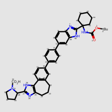 CC(C)(C)OC(=O)NC1(c2nc3ccc(-c4ccc(-c5ccc6c(c5)CCCc5nc(C7CCCN7C(=O)O)[nH]c5-6)cc4)cc3[nH]2)CCCCC1